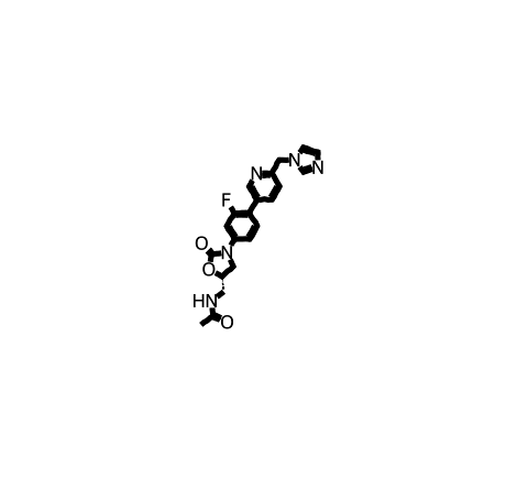 CC(=O)NC[C@H]1CN(c2ccc(-c3ccc(Cn4ccnc4)nc3)c(F)c2)C(=O)O1